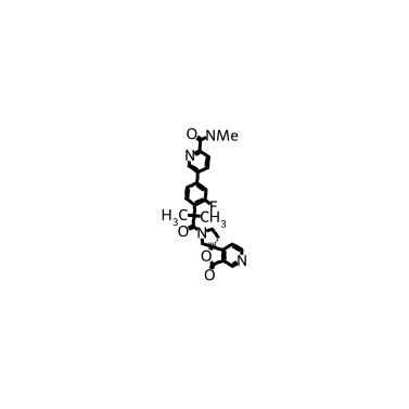 CNC(=O)c1ccc(-c2ccc(C(C)(C)C(=O)N3CC[C@@]4(C3)OC(=O)c3cnccc34)c(F)c2)cn1